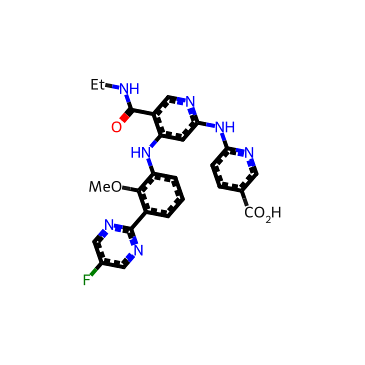 CCNC(=O)c1cnc(Nc2ccc(C(=O)O)cn2)cc1Nc1cccc(-c2ncc(F)cn2)c1OC